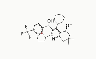 CO[C@H]1CC(C)(C)Cc2nc(C3CCCC3)c([C@@H](O)c3ccc(C(F)(F)F)cc3)c(C3CCCCC3)c21